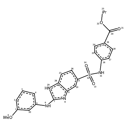 COc1cccc(Nc2nc3cc(S(=O)(=O)Nc4ccc(C(=O)OC(C)C)cc4)ccc3[nH]2)c1